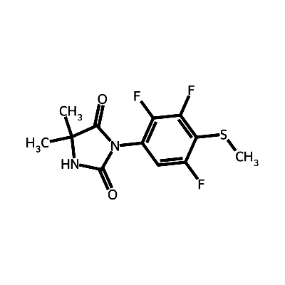 CSc1c(F)cc(N2C(=O)NC(C)(C)C2=O)c(F)c1F